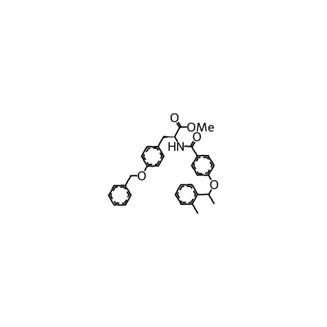 COC(=O)[C@H](Cc1ccc(OCc2ccccc2)cc1)NC(=O)c1ccc(OC(C)c2ccccc2C)cc1